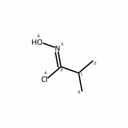 CC(C)C(Cl)=NO